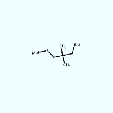 CSSCC(C)(C)CC(C)(C)C